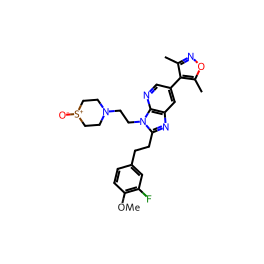 COc1ccc(CCc2nc3cc(-c4c(C)noc4C)cnc3n2CCN2CC[S+]([O-])CC2)cc1F